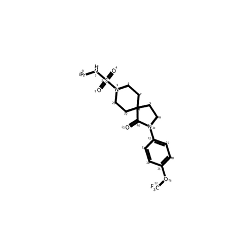 CC(C)NS(=O)(=O)N1CCC2(CCN(c3ccc(OC(F)(F)F)cc3)C2=O)CC1